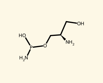 N[C@H](CO)COP(N)O